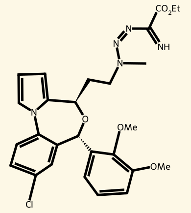 CCOC(=O)C(=N)/N=N\N(C)CC[C@H]1O[C@H](c2cccc(OC)c2OC)c2cc(Cl)ccc2-n2cccc21